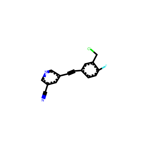 N#Cc1cncc(C#Cc2ccc(F)c(CCl)c2)c1